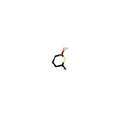 CC1CCCC(O)S1